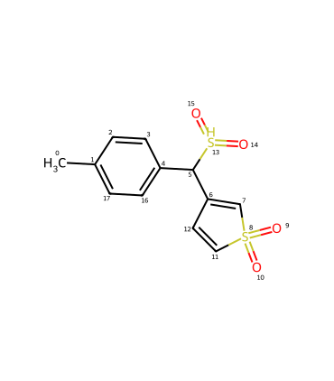 Cc1ccc(C(C2=CS(=O)(=O)C=C2)[SH](=O)=O)cc1